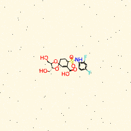 O=C(O)C1=CC2(CCC1S(=O)(=O)Nc1ccc(F)cc1F)O[C@H](CO)[C@@H](CO)O2